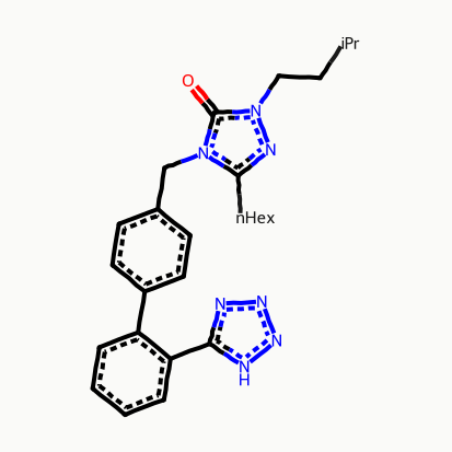 CCCCCCc1nn(CCC(C)C)c(=O)n1Cc1ccc(-c2ccccc2-c2nnn[nH]2)cc1